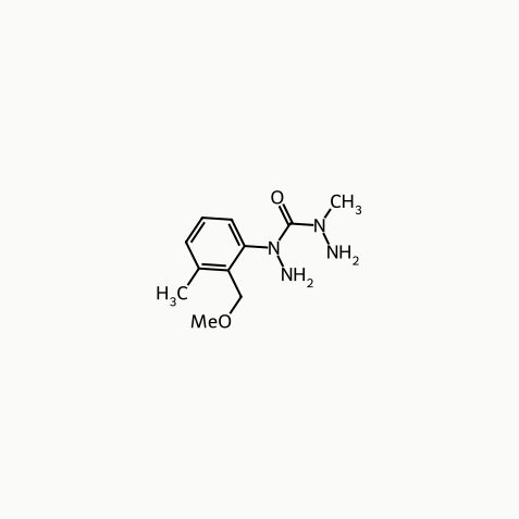 COCc1c(C)cccc1N(N)C(=O)N(C)N